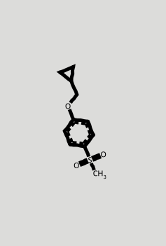 CS(=O)(=O)c1ccc(OCC2CC2)cc1